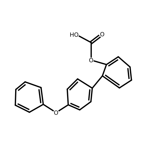 O=C(O)Oc1ccccc1-c1ccc(Oc2ccccc2)cc1